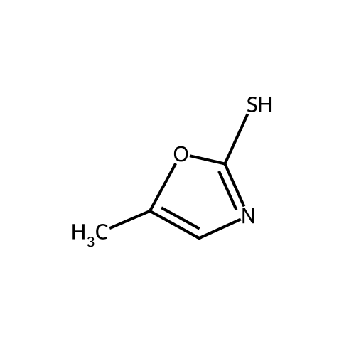 Cc1cnc(S)o1